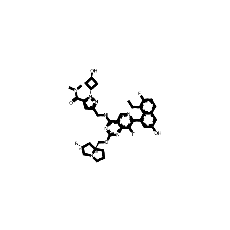 CCc1c(F)ccc2cc(O)cc(-c3ncc4c(NCc5cc(C(=O)N(C)C)n([C@H]6C[C@H](O)C6)n5)nc(OC[C@@]56CCCN5C[C@H](F)C6)nc4c3F)c12